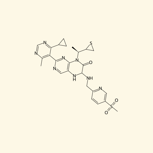 Cc1ncnc(C2CC2)c1-c1ncc2c(n1)N([C@@H](C)C1CS1)C(=O)C(NCc1ccc(S(C)(=O)=O)cn1)N2